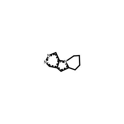 c1nncc2c1cc1n2CCCC1